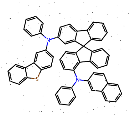 c1ccc(N(c2ccc3c(c2)C2(c4ccccc4-3)c3ccccc3-c3c(N(c4ccccc4)c4ccc5ccccc5c4)cccc32)c2ccc3sc4ccccc4c3c2)cc1